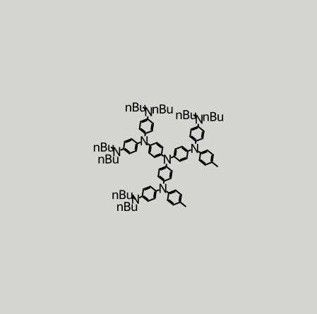 CCCCN(CCCC)c1ccc(N(c2ccc(C)cc2)c2ccc(N(c3ccc(N(c4ccc(C)cc4)c4ccc(N(CCCC)CCCC)cc4)cc3)c3ccc(N(c4ccc(N(CCCC)CCCC)cc4)c4ccc(N(CCCC)CCCC)cc4)cc3)cc2)cc1